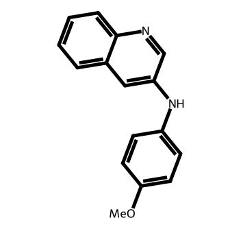 COc1ccc(Nc2cnc3ccccc3c2)cc1